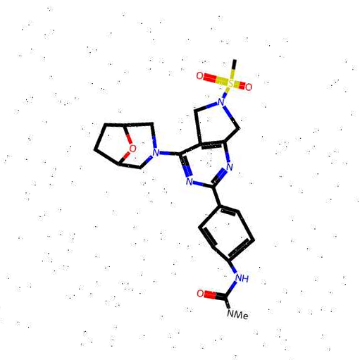 CNC(=O)Nc1ccc(-c2nc3c(c(N4CC5CCC(C4)O5)n2)CN(S(C)(=O)=O)C3)cc1